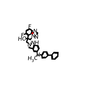 CN(c1ccc(-c2ccccc2)cc1)c1ccc2c(c1)CN(CC(O)(Cn1cncn1)c1ccc(F)cc1F)N2